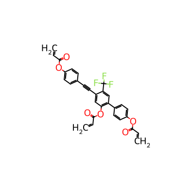 C=CC(=O)Oc1ccc(C#Cc2cc(OC(=O)C=C)c(-c3ccc(OC(=O)C=C)cc3)cc2C(F)(F)F)cc1